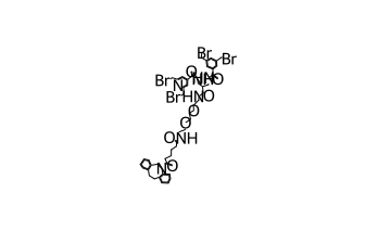 O=C(CCCCC(=O)N1Cc2ccccc2CCc2ccccc21)NCCOCCOCCNC(=O)C(CNC(=O)c1cc(CBr)cc(CBr)c1)CNC(=O)c1cc(CBr)nc(CBr)c1